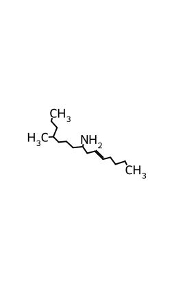 CCCC/C=C/CC(N)CCCC(C)CCC